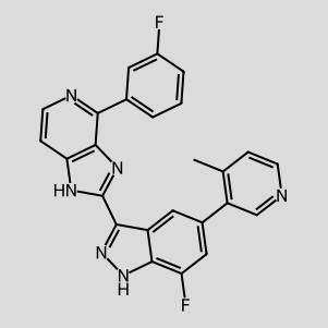 Cc1ccncc1-c1cc(F)c2[nH]nc(-c3nc4c(-c5cccc(F)c5)nccc4[nH]3)c2c1